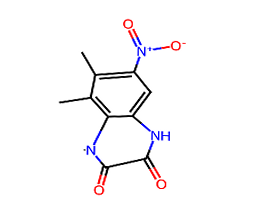 Cc1c([N+](=O)[O-])cc2c(c1C)[N]C(=O)C(=O)N2